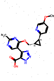 COc1ccc([C@H]2C[C@@H]2COc2nc(C)ncc2-c2nn[nH]c2C(=O)O)nc1